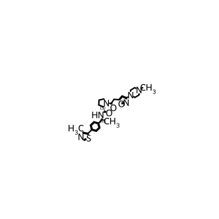 Cc1ncsc1-c1ccc([C@H](C)NC(=O)[C@@H]2CCCN2C(=O)Cc2cc(N3CCN(C)CC3)no2)cc1